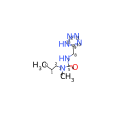 CCCN(C)C(=O)NCc1nnn[nH]1